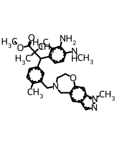 CNc1ccc(C(c2ccc(C)c(CN3CCOc4cc5c(cnn5C)cc4C3)c2)C(C)(C)C(=O)OC)c(C)c1N